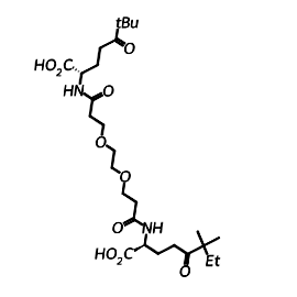 CCC(C)(C)C(=O)CC[C@H](NC(=O)CCOCCOCCC(=O)N[C@@H](CCC(=O)C(C)(C)C)C(=O)O)C(=O)O